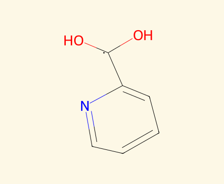 O[C](O)c1ccccn1